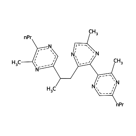 CCCc1cnc(-c2nc(C)cnc2CC(C)c2cnc(CCC)c(C)n2)c(C)n1